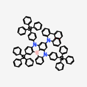 c1ccc(-c2ccccc2N(c2ccccc2)c2cc3c4c(c2)N(c2ccc([Si](c5ccccc5)(c5ccccc5)c5ccccc5)cc2)c2ccc([Si](c5ccccc5)(c5ccccc5)c5ccccc5)cc2B4c2ccccc2N3c2ccc([Si](c3ccccc3)(c3ccccc3)c3ccccc3)cc2)cc1